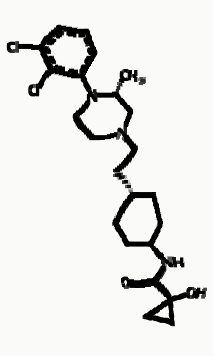 C[C@@H]1CN(CC[C@H]2CC[C@H](NC(=O)C3(O)CC3)CC2)CCN1c1cccc(Cl)c1Cl